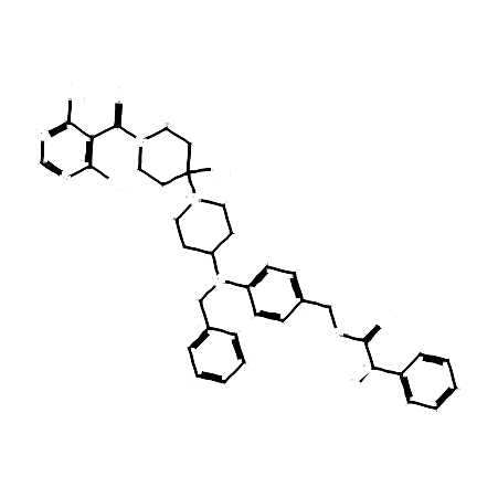 Cc1ncnc(C)c1C(=O)N1CCC(C)(N2CCC(N(Cc3ccccc3)c3ccc(CNC(=O)[C@H](O)c4ccccc4)cc3)CC2)CC1